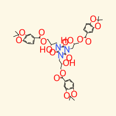 CC1(C)Oc2ccc(C(=O)OCC(O)Cn3c(=O)n(CC(O)COC(=O)c4ccc5c(c4)OC(C)(C)O5)c(=O)n(CC(O)COC(=O)c4ccc5c(c4)OC(C)(C)O5)c3=O)cc2O1